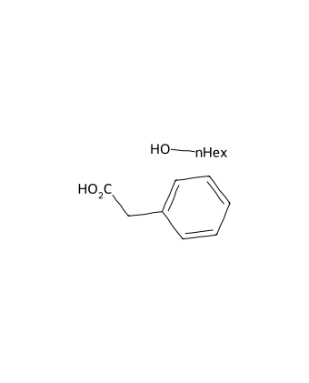 CCCCCCO.O=C(O)Cc1ccccc1